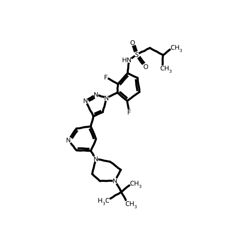 CC(C)CS(=O)(=O)Nc1ccc(F)c(-n2cc(-c3cncc(N4CCN(C(C)(C)C)CC4)c3)nn2)c1F